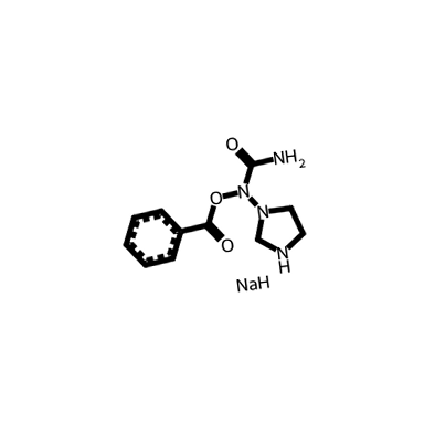 NC(=O)N(OC(=O)c1ccccc1)N1CCNC1.[NaH]